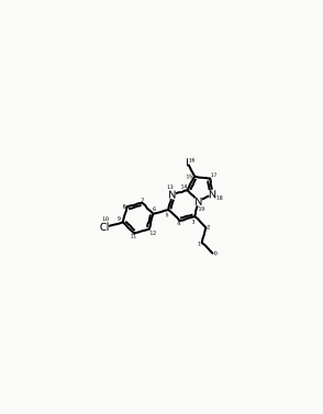 CCCc1cc(-c2ccc(Cl)cc2)nc2c(I)cnn12